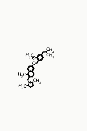 COc1cc(CC(C)C)ccc1COc1ccc2c(c1)CCC(CN1C(C)CCC1C)=C2C